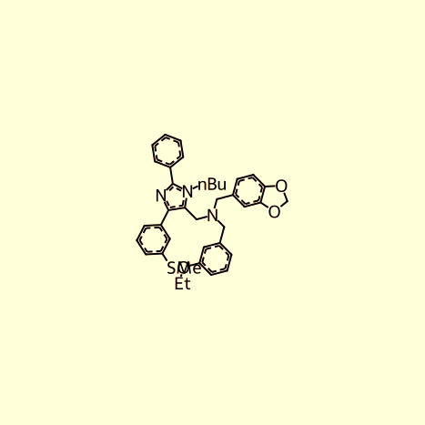 CCCCn1c(-c2ccccc2)nc(-c2cccc(SC)c2)c1CN(Cc1cccc(OCC)c1)Cc1ccc2c(c1)OCO2